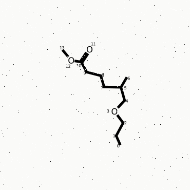 CCCOCC(C)CCCC(=O)OC